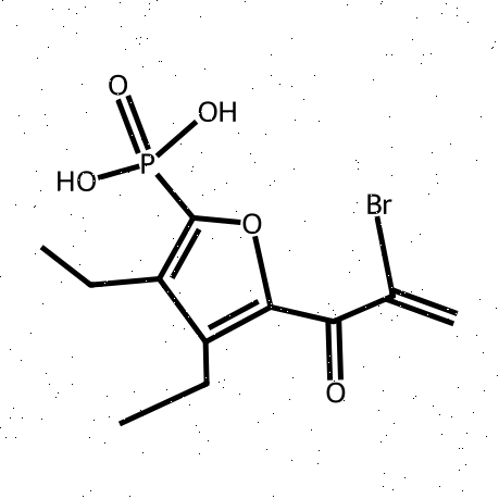 C=C(Br)C(=O)c1oc(P(=O)(O)O)c(CC)c1CC